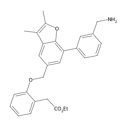 CCOC(=O)Cc1ccccc1OCc1cc(-c2cccc(CN)c2)c2oc(C)c(C)c2c1